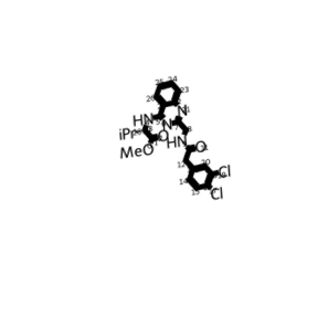 COC(=O)[C@@H](Nc1nc(CNC(=O)Cc2ccc(Cl)c(Cl)c2)nc2ccccc12)C(C)C